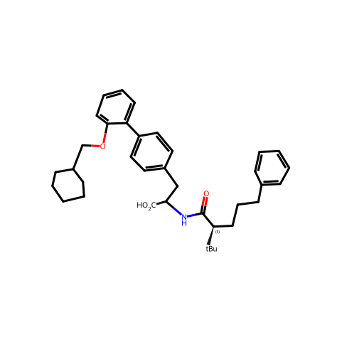 CC(C)(C)[C@H](CCCc1ccccc1)C(=O)NC(Cc1ccc(-c2ccccc2OCC2CCCCC2)cc1)C(=O)O